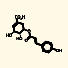 O=C(/C=C/c1ccc(O)cc1)O[C@@H]1CC(C(=O)O)=C[C@@H](O)[C@H]1O